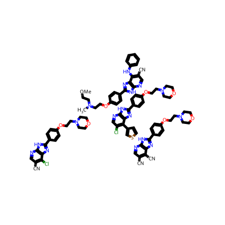 COCCN(C)CCOc1ccc(-c2nc3c(Nc4ccccc4)c(C#N)cnc3[nH]2)cc1.Clc1cnc2[nH]c(-c3ccc(OCCN4CCOCC4)cc3)nc2c1-c1ccsc1.N#Cc1cnc2[nH]c(-c3ccc(OCCN4CCOCC4)cc3)nc2c1C#N.N#Cc1cnc2[nH]c(-c3ccc(OCCN4CCOCC4)cc3)nc2c1Cl